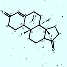 C[C@]12CC[C@H]3[C@@H](CCC4=CC(=O)CC[C@@]43CBr)[C@@H]1CCC2=O